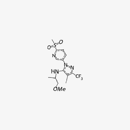 COCC(C)Nc1c(C)c(C(F)(F)F)nn1-c1ccc(S(C)(=O)=O)nc1